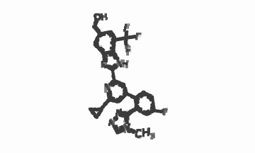 Cn1cnnc1-c1cc(F)ccc1-c1cc(-c2nc3cc(CO)cc(C(F)(F)F)c3[nH]2)nc(C2CC2)c1